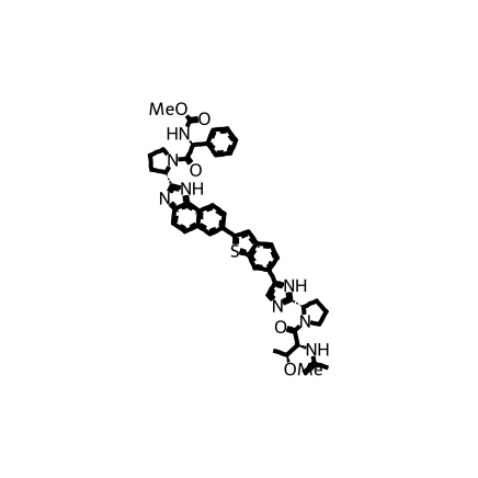 C=C(C)N[C@H](C(=O)N1CCC[C@H]1c1ncc(-c2ccc3cc(-c4ccc5c(ccc6nc([C@@H]7CCCN7C(=O)[C@H](NC(=O)OC)c7ccccc7)[nH]c65)c4)sc3c2)[nH]1)[C@H](C)OC